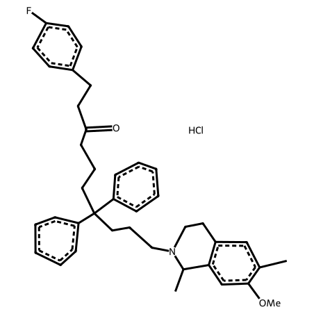 COc1cc2c(cc1C)CCN(CCCC(CCCC(=O)CCc1ccc(F)cc1)(c1ccccc1)c1ccccc1)C2C.Cl